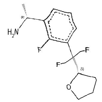 C[C@@H](N)c1cccc(C(F)(F)[C@@H]2CCCO2)c1F